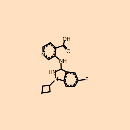 O=C(O)c1ccncc1NC1NN(C2CCC2)c2ccc(F)cc21